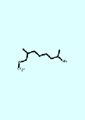 CCCCC(C)CCCCC(C)COS(=O)(=O)O